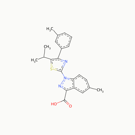 Cc1cccc(-c2nc(-n3nc(C(=O)O)c4cc(C)ccc43)sc2C(C)C)c1